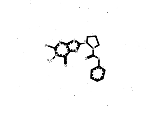 CC(C)c1nc2sc([C@H]3CCCN3C(=O)Oc3ccccc3)nc2c(=O)n1C